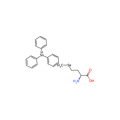 C[Se]CC[C@H](N)C(=O)O.c1cc[c]([SnH]([c]2ccccc2)[c]2ccccc2)cc1